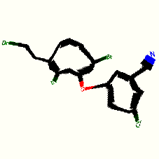 N#Cc1cc(Cl)cc(Oc2c(Br)ccc(CCBr)c2F)c1